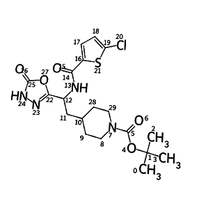 CC(C)(C)OC(=O)N1CCC(CC(NC(=O)c2ccc(Cl)s2)c2n[nH]c(=O)o2)CC1